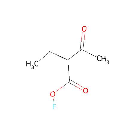 CCC(C(C)=O)C(=O)OF